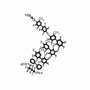 CCCCCCPC(F)(F)C(F)(F)C(F)(F)CCCCCC.Cc1cc(-c2c(F)c(F)c(F)c(F)c2F)c(F)c(F)c1F.Cc1cc(-c2c(F)c(F)c(F)c(F)c2F)c(F)c(F)c1F.Cc1cc(-c2c(F)c(F)c(F)c(F)c2F)c(F)c(F)c1F.Cc1cc(-c2c(F)c(F)c(F)c(F)c2F)c(F)c(F)c1F.[O]=[Al][OH].c1ccc(-c2ccccc2)cc1